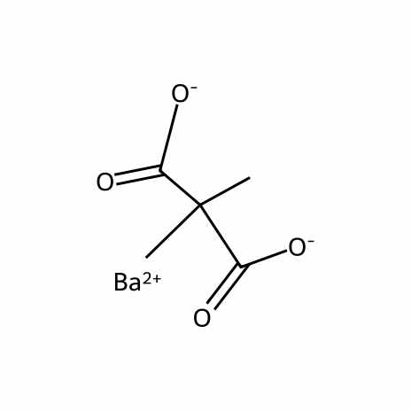 CC(C)(C(=O)[O-])C(=O)[O-].[Ba+2]